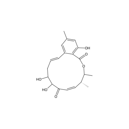 Cc1cc(O)c2c(c1)/C=C/CC(O)C(O)C(=O)/C=C\[C@@H](C)C(C)OC2=O